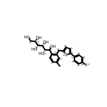 Cc1ccc(C(O)[C@H](O)[C@@H](O)[C@H](O)[C@H](O)CO)c(Cc2ccc(-c3ccc(F)cc3)s2)c1